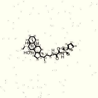 CC[C@H]1[C@@H](O)[C@@H]2[C@H](CC[C@]3(C)[C@@H]([C@H](C)CCNC(=O)C(=O)NS(=O)(=O)c4cccs4)CC[C@@H]23)[C@@]2(C)CCCC[C@@H]12